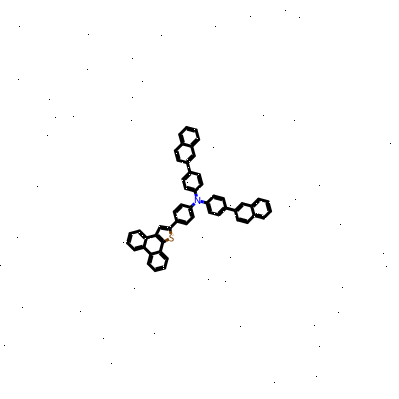 c1ccc2cc(-c3ccc(N(c4ccc(-c5ccc6ccccc6c5)cc4)c4ccc(-c5cc6c7ccccc7c7ccccc7c6s5)cc4)cc3)ccc2c1